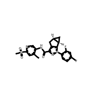 Cc1cc(S(C)(=O)=O)ncc1NC(=O)c1nn(-c2ccc(F)cc2F)c2c1C[C@H]1C[C@@H]21